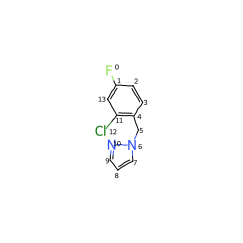 Fc1ccc(Cn2cccn2)c(Cl)c1